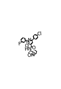 O=C(N[C@H](CO)[C@@H]1CCCO1)c1cc(-c2ccc(Cl)cc2)nn(-c2cccc(F)c2)c1=O